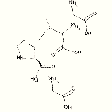 CC(C)C(N)C(=O)O.NCC(=O)O.NCC(=O)O.O=C(O)[C@@H]1CCCN1